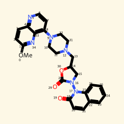 COc1ccc2nccc(N3CCN(CC4CN(n5c(=O)ccc6ccccc65)C(=O)O4)CC3)c2n1